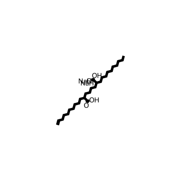 C=CCCCCCCCCC(CCCCC(CCCCCCCCCC)C(=O)O)C(=O)O.[NaH].[NaH]